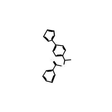 CC(OC(=O)c1ccccc1)c1ccc(-c2ccccc2)cc1